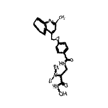 CCN(CC)C(CNC(=O)c1ccc(OCc2cc(C)nc3ccccc23)cc1)C(=O)NO